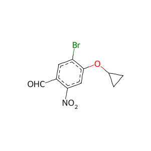 O=Cc1cc(Br)c(OC2CC2)cc1[N+](=O)[O-]